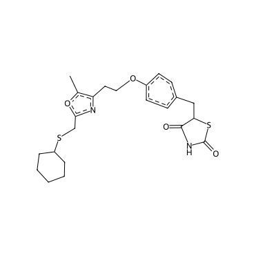 Cc1oc(CSC2CCCCC2)nc1CCOc1ccc(CC2SC(=O)NC2=O)cc1